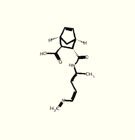 C=N/C=C\C=C(/C)NC(=O)[C@@H]1[C@@H](C(=O)O)[C@H]2C=C[C@@H]1C2